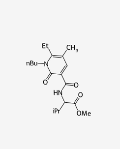 CCCCn1c(CC)c(C)cc(C(=O)NC(C(=O)OC)C(C)C)c1=O